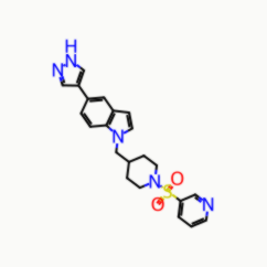 O=S(=O)(c1cccnc1)N1CCC(Cn2ccc3cc(-c4cn[nH]c4)ccc32)CC1